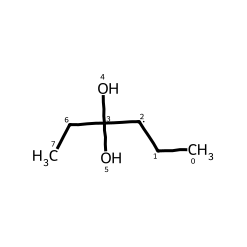 CC[CH]C(O)(O)CC